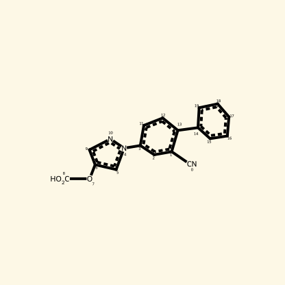 N#Cc1cc(-n2cc(OC(=O)O)cn2)ccc1-c1ccccc1